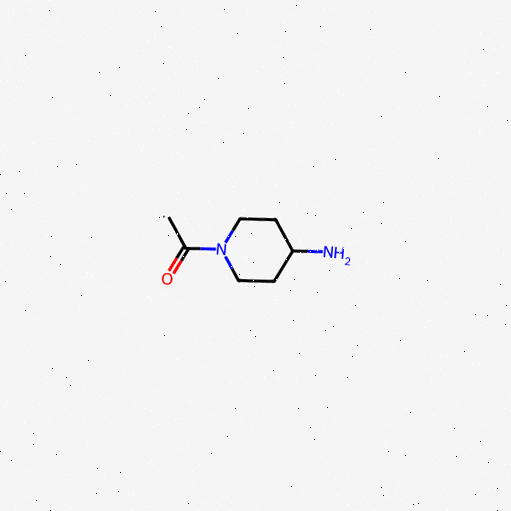 [CH2]C(=O)N1CCC(N)CC1